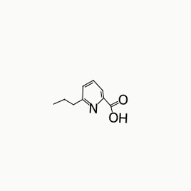 CCCc1cccc(C(=O)O)n1